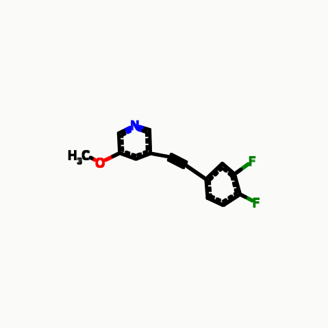 COc1cncc(C#Cc2ccc(F)c(F)c2)c1